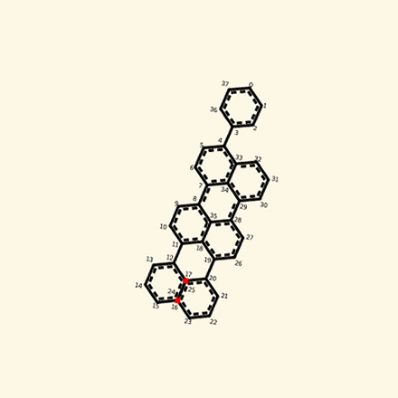 c1ccc(-c2ccc3c4ccc(-c5ccccc5)c5c(-c6ccccc6)ccc(c6cccc2c63)c54)cc1